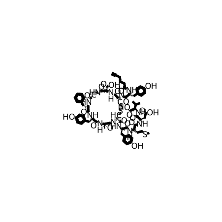 C#CCCCC(=O)N[C@H](Cc1ccc(O)cc1)C(=O)N[C@@H]1CSSC[C@H](C(=O)N[C@H](Cc2ccc(O)cc2)C(=O)N[C@H](CCSC)C(=O)N[C@H](CC(=O)O)C(=O)N[C@@H](C(=O)O)C(C)C)NC(=O)[C@@H](C)NC(=O)[C@@H](Cc2ccc(O)cc2)NC(=O)[C@H](Cc2ccccc2)NC(=O)CNC(=O)[C@@H](C(=O)O)NC1=O